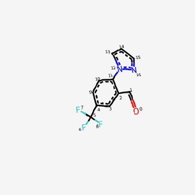 O=Cc1cc(C(F)(F)F)ccc1-n1cccn1